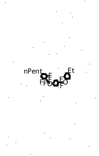 CCCCCc1cc(F)c(C(F)(F)Oc2ccc(C(F)(F)Oc3ccc(CC)cc3)cc2)c(F)c1